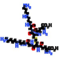 NCCCCNCCCNC(=O)CNC(=O)[C@@H](CSSC[C@@H](NC(=O)CC[C@H](N)C(=O)O)C(=O)NCC(=O)NCCCNCCCCN)NC(=O)CC[C@@H](N)C(=O)O